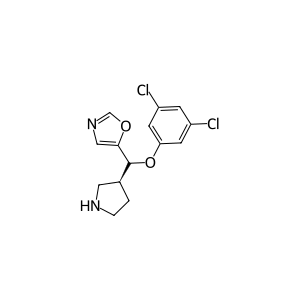 Clc1cc(Cl)cc(OC(c2cnco2)[C@H]2CCNC2)c1